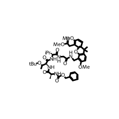 COC(=O)Cc1c(OC)ccc2c1Oc1c(ccc(OC)c1CNC(=O)CNC(=O)[C@@H](NC(=O)[C@@H](NC(=O)[C@H](C)NC(=O)OCc1ccccc1)C(C)OC(C)(C)C)C(C)C)C2(C)C